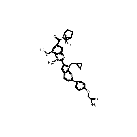 COc1cc(C(=O)N2CC3CCC2[C@@H]3C)cc2nc(-c3cc4ccc(-c5ccc(OCC(N)=O)cc5)nc4n3CC3CC3)n(C)c12